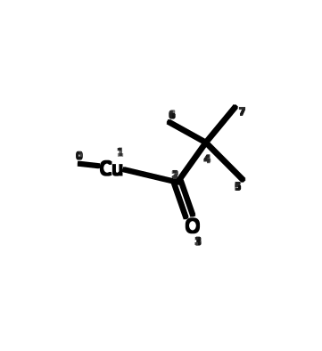 [CH3][Cu][C](=O)C(C)(C)C